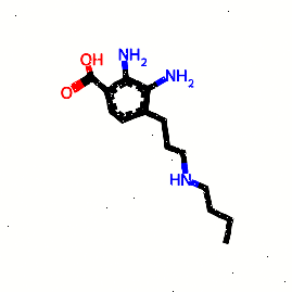 CCCCNCCCc1ccc(C(=O)O)c(N)c1N